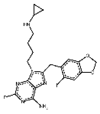 Nc1nc(F)nc2c1nc(Cc1cc3c(cc1I)OCO3)n2CCCCNC1CC1